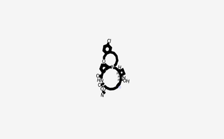 N#C[C@H]1CC/C=C\[C@H](O)[C@@H]2CC[C@H]2CN2CCCCc3cc(Cl)ccc3COc3ccc(cc32)C(=O)NS1(=O)=O